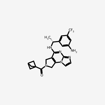 C[C@@H](Nc1nc2nccn2c2c1CN(C(=O)C13CC(C1)C3)C2)c1cc(N)cc(C(F)(F)F)c1